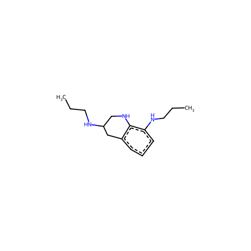 CCCNc1cccc2c1NCC(NCCC)C2